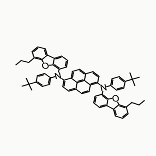 CCCc1cccc2c1oc1c(N(c3ccc(C(C)(C)C)cc3)c3ccc4ccc5c(N(c6ccc(C(C)(C)C)cc6)c6cccc7c6oc6c(CCC)cccc67)ccc6ccc3c4c65)cccc12